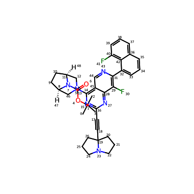 CC(C)(C)OC(=O)N1[C@@H]2CC[C@H]1CN(c1nc(C#CC34CCCN3CCC4)nc3c(F)c(-c4cccc5cccc(F)c45)ncc13)C2